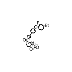 CCC1=CC(F)=C(Oc2ccc(C3CN(C(=O)N4CCC5OCC(=O)N[C@@H]5C4)C3)cc2)C=CC1